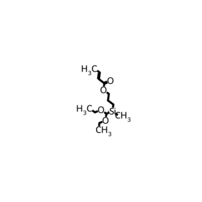 CC=CC(=O)OCCC[Si](C)C(OCC)OCC